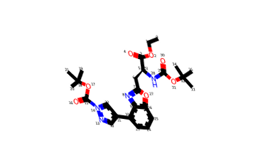 CCOC(=O)[C@H](Cc1nc2c(-c3cnn(C(=O)OC(C)(C)C)c3)cccc2o1)NC(=O)OC(C)(C)C